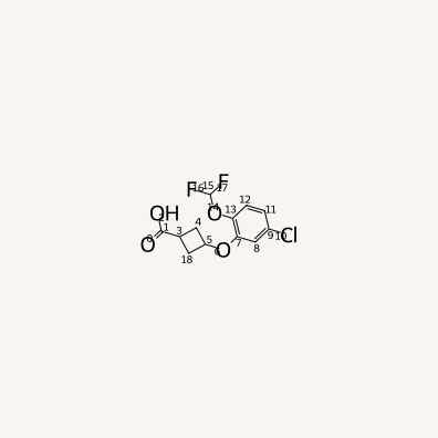 O=C(O)C1CC(Oc2cc(Cl)ccc2OC(F)F)C1